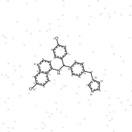 Clc1ccc(C(Nc2ccnc3cc(Cl)ccc23)c2ccc(Cn3ccnc3)cc2)cc1